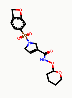 O=C(NOC1CCCCO1)C1=CCN(S(=O)(=O)c2ccc3c(c2)OC3)C1